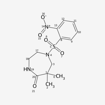 CC1(C)CN(S(=O)(=O)c2ccccc2[N+](=O)[O-])CCNC1=O